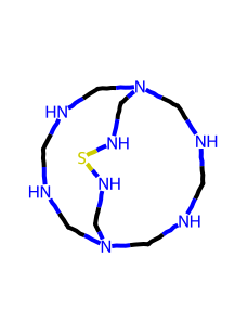 C1NCN2CNCNCN(CN1)CNSNC2